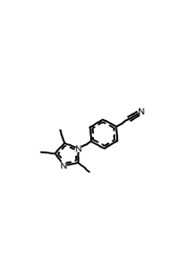 Cc1nc(C)n(-c2ccc(C#N)cc2)c1C